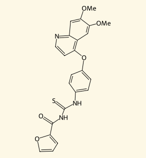 COc1cc2nccc(Oc3ccc(NC(=S)NC(=O)c4ccco4)cc3)c2cc1OC